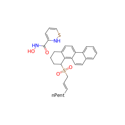 CCCCCC=CCS(=O)(=O)C1CCCc2ccc3c(ccc4ccccc43)c21.O=C(NO)C1=CC=CSN1